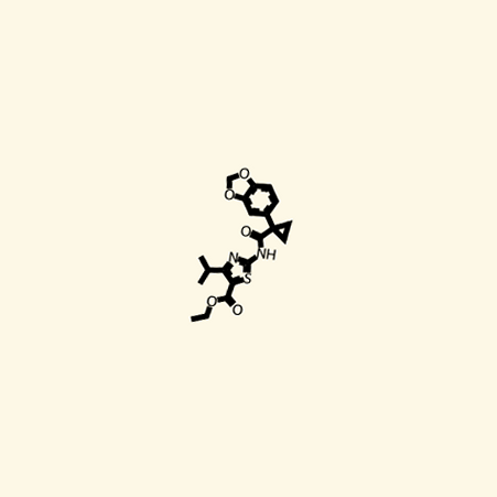 CCOC(=O)c1sc(NC(=O)C2(c3ccc4c(c3)OCO4)CC2)nc1C(C)C